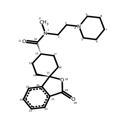 CN(CCN1CCCCC1)C(=O)[C@H]1CC[C@@]2(CC1)OC(=O)c1ccccc12